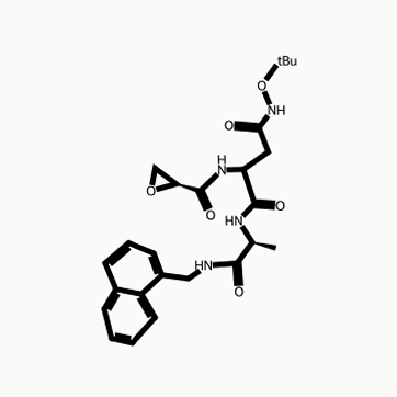 C[C@H](NC(=O)C(CC(=O)NOC(C)(C)C)NC(=O)[C@@H]1CO1)C(=O)NCc1cccc2ccccc12